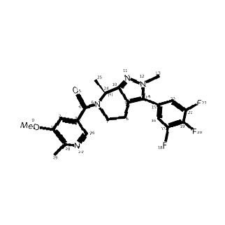 COc1cc(C(=O)N2CCc3c(nn(C)c3-c3cc(F)c(F)c(F)c3)[C@@H]2C)cnc1C